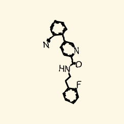 N#Cc1ccccc1-c1ccc(C(=O)NCCc2ccccc2F)nc1